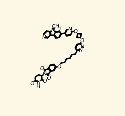 Cn1c2ccncc2c2ccc(-c3ccc(O[C@H]4C[C@H](Oc5ccc(CCCCCCOc6ccc7c(c6)C(=O)N(C6CCC(=O)NC6=O)C7=O)nn5)C4)nc3)cc21